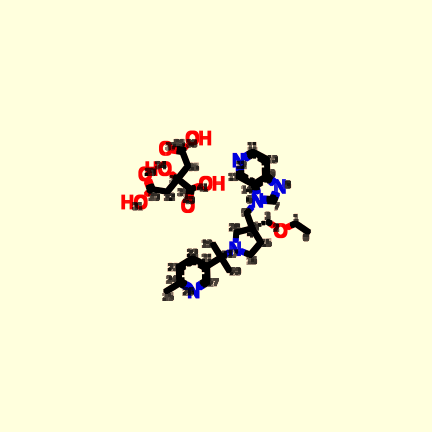 CCOC[C@]1(Cn2cnc3ccncc32)CCN(C(C)(C)c2ccc(C)nc2)C1.O=C(O)CC(O)(CC(=O)O)C(=O)O